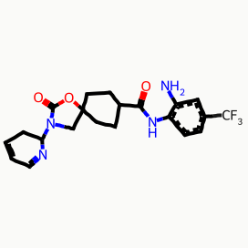 Nc1cc(C(F)(F)F)ccc1NC(=O)C1CCC2(CC1)CN(C1CC=CC=N1)C(=O)O2